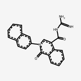 N=C(N)NC(=O)c1cn(-c2ccc3ccccc3c2)c(=O)c2ccccc12